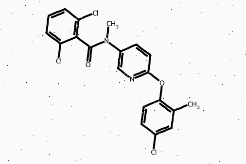 Cc1cc(Cl)ccc1Oc1ccc(N(C)C(=O)c2c(Cl)cccc2Cl)cn1